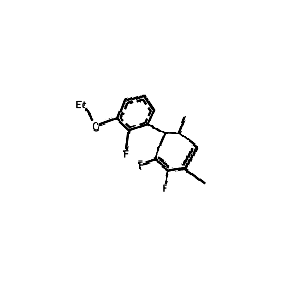 CCOc1cccc(C2C(F)=C(F)C(C)=CC2C)c1F